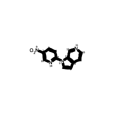 O=[N+]([O-])c1ccc(-n2ccc3ccncc32)nc1